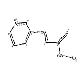 CCNC(=O)/C=C/c1cccnc1